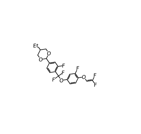 CCC1COC(c2ccc(C(F)(F)Oc3ccc(OC=C(F)F)c(F)c3)c(F)c2)OC1